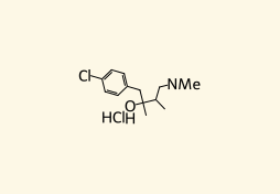 CNCC(C)C(C)(O)Cc1ccc(Cl)cc1.Cl